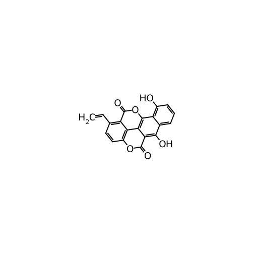 C=Cc1ccc2oc(=O)c3c(O)c4cccc(O)c4c4oc(=O)c1c2c34